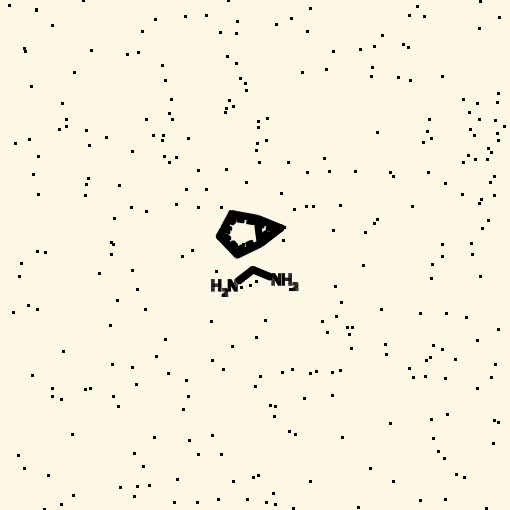 NCN.c1cc2cc-2c1